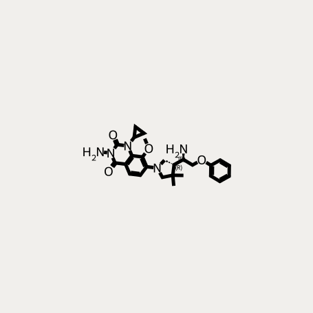 COc1c(N2C[C@H]([C@@H](N)COc3ccccc3)C(C)(C)C2)ccc2c(=O)n(N)c(=O)n(C3CC3)c12